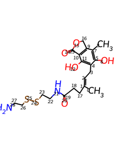 C/C(=C\Cc1c(O)c(C)c2c(c1O)C(=O)OC2)CCC(=O)NCCSSCCN